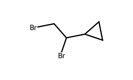 BrCC(Br)C1CC1